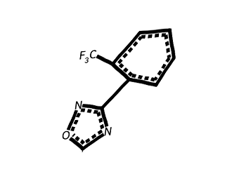 FC(F)(F)c1ccccc1-c1n[c]on1